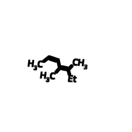 C/C=C\C(C)=C(/C)CC